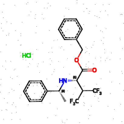 C[C@@H](N[C@H](C(=O)OCc1ccccc1)C(C(F)(F)F)C(F)(F)F)c1ccccc1.Cl